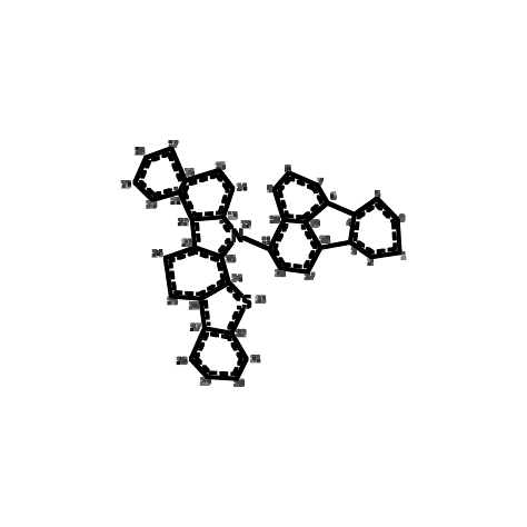 c1ccc2c(c1)-c1cccc3c(-n4c5ccc6ccccc6c5c5ccc6c7ccccc7sc6c54)ccc-2c13